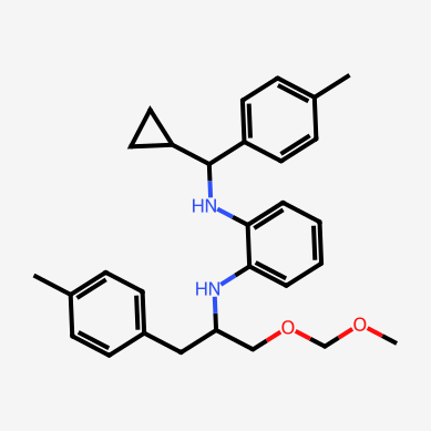 COCOCC(Cc1ccc(C)cc1)Nc1ccccc1NC(c1ccc(C)cc1)C1CC1